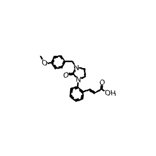 COc1ccc(CN2CCN(c3ccccc3/C=C/C(=O)O)C2=O)cc1